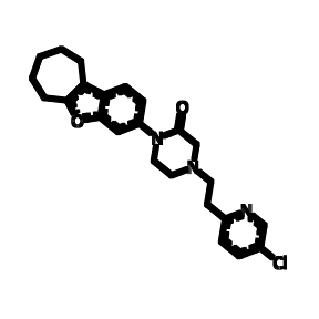 O=C1CN(CCc2ccc(Cl)cn2)CCN1c1ccc2c3c(oc2c1)CCCCC3